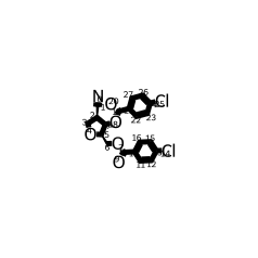 N#C[C@@H]1CO[C@H](COC(=O)c2ccc(Cl)cc2)C1OC(=O)c1ccc(Cl)cc1